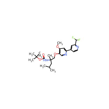 COc1cc(-c2ccnc(C(F)F)c2)ncc1OCC(C)(CC(C)C)NC(=O)OC(C)(C)C